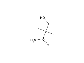 CC(C)(CO)C(N)=O